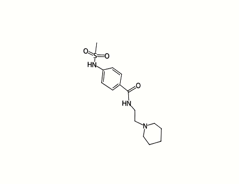 CS(=O)(=O)Nc1ccc(C(=O)NCCN2CCCCC2)cc1